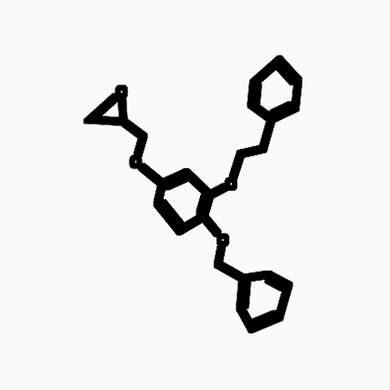 c1ccc(CCOc2cc(OCC3CO3)ccc2OCc2ccccc2)cc1